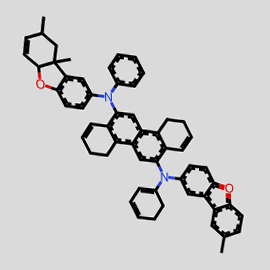 Cc1ccc2oc3ccc(N(C4=CC=CCC4)c4cc5c6c(c(N(c7ccccc7)c7ccc8c(c7)C7(C)CC(C)C=CC7O8)cc5c5c4C=CCC5)C=CCC6)cc3c2c1